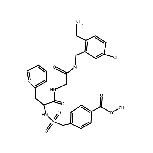 COC(=O)c1ccc(CS(=O)(=O)NC(Cc2ccccn2)C(=O)NCC(=O)NCc2cc(Cl)ccc2CN)cc1